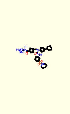 O=C(Nc1nn[nH]n1)c1ccc(CN(C(=O)Nc2cccc(S(=O)(=O)N3CCCCC3)c2)c2ccc(C3CCCCC3)cc2)cc1